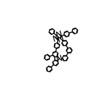 c1ccc(-c2ccc(-c3nc(-c4ccccc4)nc(-c4ccc(-c5cc(-c6ccccc6)c6c7cc(-c8ccccc8)ccc7n(-c7cccc(-c8cccc(-c9ccccc9)c8)c7)c6c5)cc4)n3)cc2)cc1